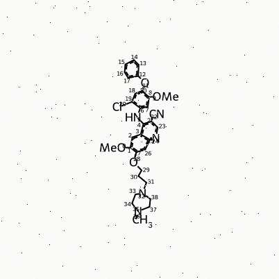 COc1cc2c(Nc3cc(OC)c(Oc4ccccc4)cc3Cl)c(C#N)cnc2cc1OCCCN1CCN(C)CC1